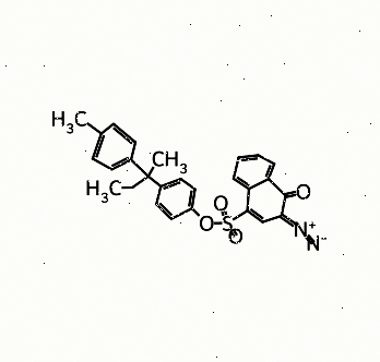 CCC(C)(c1ccc(C)cc1)c1ccc(OS(=O)(=O)C2=CC(=[N+]=[N-])C(=O)c3ccccc32)cc1